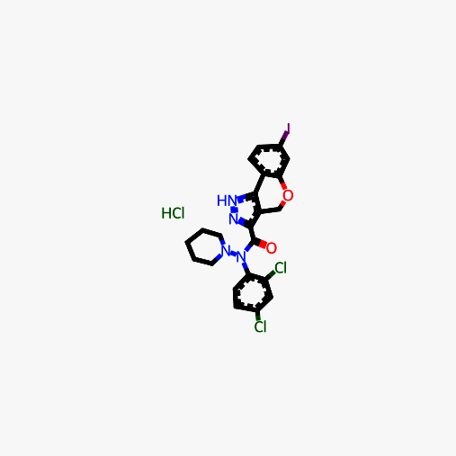 Cl.O=C(c1n[nH]c2c1COc1cc(I)ccc1-2)N(c1ccc(Cl)cc1Cl)N1CCCCC1